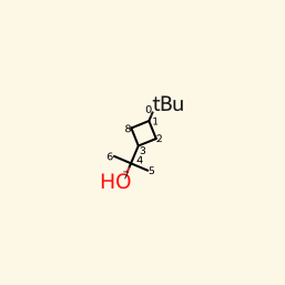 CC(C)(C)C1CC(C(C)(C)O)C1